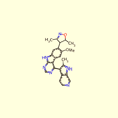 COc1cc2c(cc1C1C(C)=NOC1C)[nH]c1ncnc(-c3c(C)[nH]c4cnccc34)c12